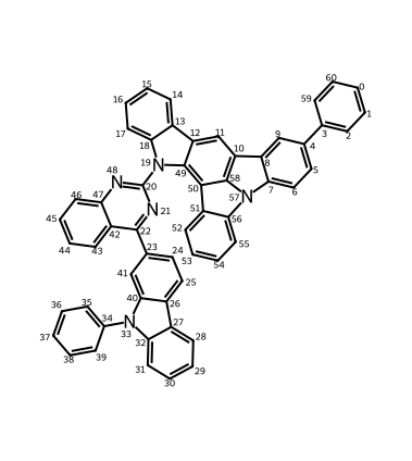 c1ccc(-c2ccc3c(c2)c2cc4c5ccccc5n(-c5nc(-c6ccc7c8ccccc8n(-c8ccccc8)c7c6)c6ccccc6n5)c4c4c5ccccc5n3c24)cc1